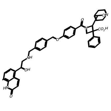 O=C(c1ccc(OCc2ccc(CNCC(O)c3ccc(O)c4[nH]c(=O)ccc34)cc2)cc1)N1CC(C(=O)O)(c2ccccc2)C1C1CN2CCC1CC2